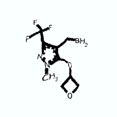 BCc1c(C(F)(F)F)nn(C)c1OC1COC1